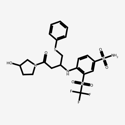 NS(=O)(=O)c1ccc(NC(CSc2ccccc2)CC(=O)N2CCC(O)C2)c(S(=O)(=O)C(F)(F)F)c1